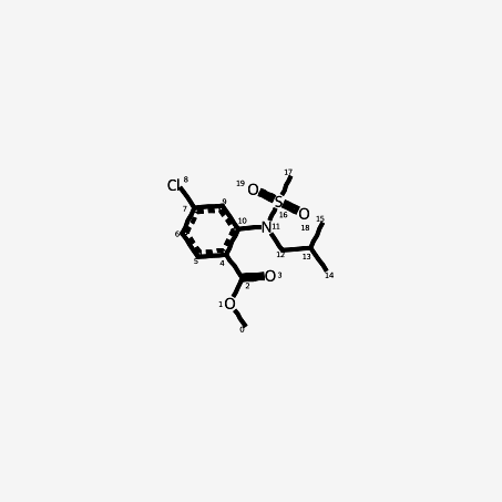 COC(=O)c1ccc(Cl)cc1N(CC(C)C)S(C)(=O)=O